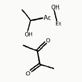 CC(=O)C(C)=O.CC(=O)C(C)O.CCO